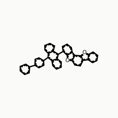 c1ccc(-c2ccc(-c3c4ccccc4c(-c4cccc5c4oc4ccc6c7ccccc7oc6c45)c4ccccc34)cc2)cc1